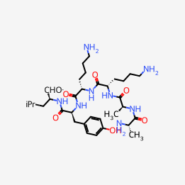 CC(C)C[C@@H]([C]=O)NC(=O)[C@H](Cc1ccc(O)cc1)NC(=O)[C@H](CCCCN)NC(=O)[C@H](CCCCN)NC(=O)[C@H](C)NC(=O)[C@H](C)N